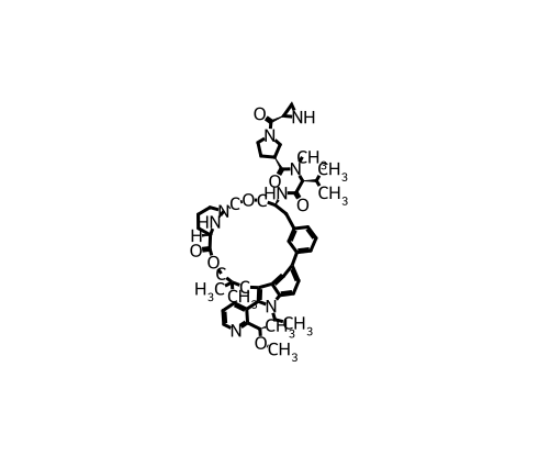 CCn1c(-c2cccnc2[C@H](C)OC)c2c3cc(ccc31)-c1cccc(c1)C[C@H](NC(=O)[C@H](C(C)C)N(C)C(=O)[C@H]1CCN(C(=O)[C@H]3CN3)C1)COCN1CCC[C@H](N1)C(=O)OCC(C)(C)C2